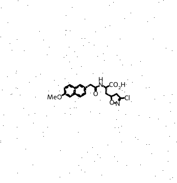 COc1ccc2cc(CC(=O)NC(CC3CC(Cl)=NO3)C(=O)O)ccc2c1